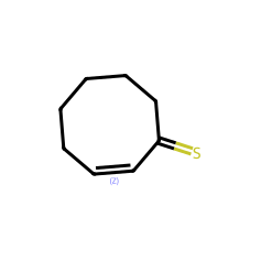 S=C1/C=C\CCCCC1